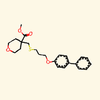 COC(=O)C1(CSCCCOc2ccc(-c3ccccc3)cc2)CCOCC1